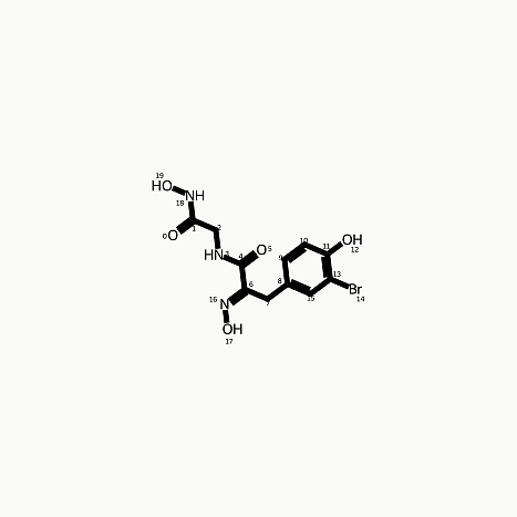 O=C(CNC(=O)/C(Cc1ccc(O)c(Br)c1)=N/O)NO